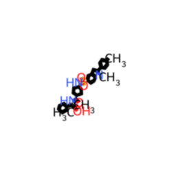 Cc1ccc(-c2cc3cc(S(=O)(=O)N[C@H]4CC[C@H](C(=O)N[C@@H](c5ccccc5)C(C)(C)O)CC4)ccc3n2C)cc1